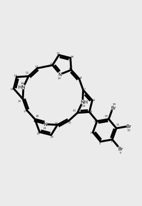 Brc1ccc(-c2cc3cc4nc(cc5ccc(cc6nc(cc2[nH]3)C=C6)[nH]5)C=C4)c(Br)c1Br